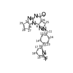 O=c1nc2nc3c(n2c2nn(Cc4ccc(-c5cccc(F)n5)cc4)cc12)=CC=C3